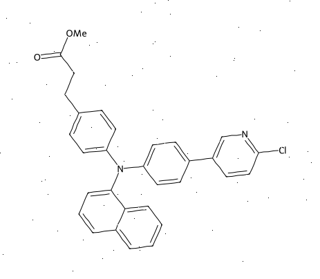 COC(=O)CCc1ccc(N(c2ccc(-c3ccc(Cl)nc3)cc2)c2cccc3ccccc23)cc1